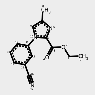 CCOC(=O)c1nc(C)cn1-c1cccc(C#N)c1